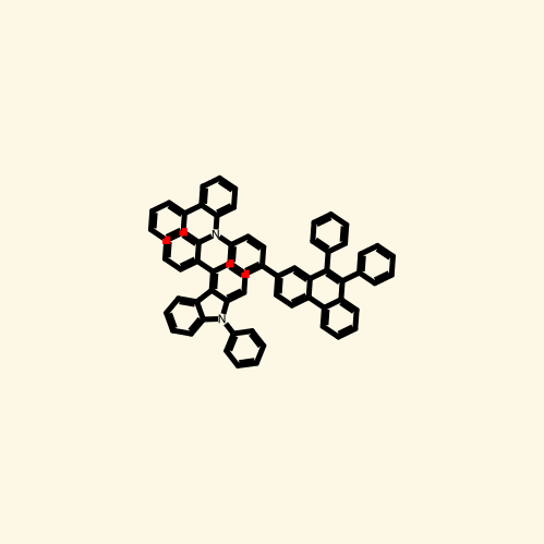 c1ccc(-c2ccccc2N(c2ccc(-c3ccc4c(c3)c(-c3ccccc3)c(-c3ccccc3)c3ccccc34)cc2)c2ccccc2-c2cccc3c2c2ccccc2n3-c2ccccc2)cc1